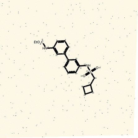 CCOC(=O)Nc1cccc(-c2cccc(NS(=O)(=O)CC3CCC3)c2)c1